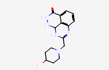 O=C1NNC2NC(CN3CCC(O)CC3)=Nc3cccc1c32